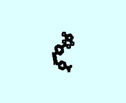 CN(C)c1ccc(N=C=Nc2ccc(C(=O)ON3C(=O)CCC3=O)cc2)cc1